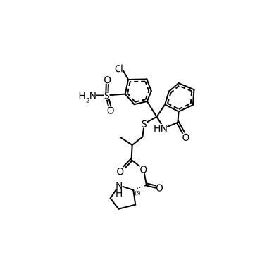 CC(CSC1(c2ccc(Cl)c(S(N)(=O)=O)c2)NC(=O)c2ccccc21)C(=O)OC(=O)[C@@H]1CCCN1